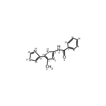 Cc1nc(NC(=O)c2ccccc2)sc1-c1cscn1